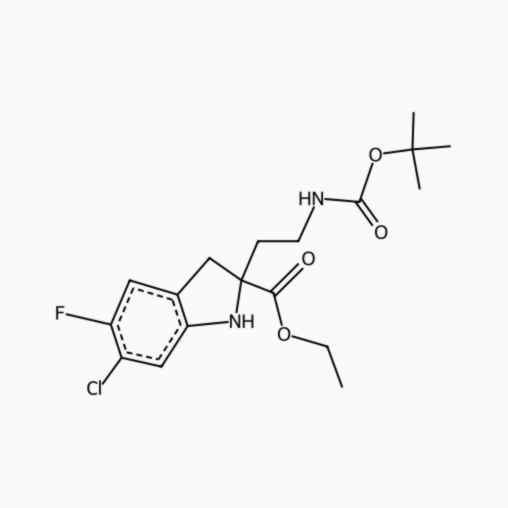 CCOC(=O)C1(CCNC(=O)OC(C)(C)C)Cc2cc(F)c(Cl)cc2N1